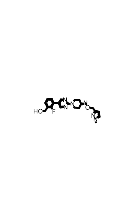 Cn1ccc(CON=C2CCN(c3ncc(-c4cccc(CO)c4F)cn3)CC2)n1